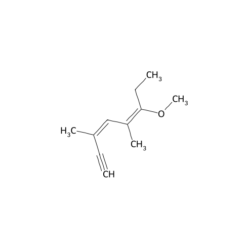 C#C/C(C)=C\C(C)=C(/CC)OC